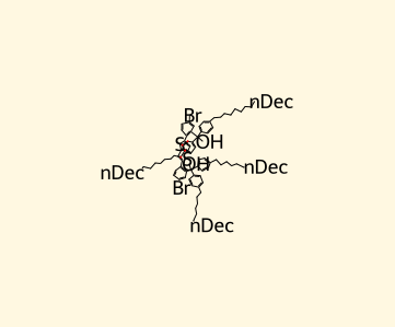 CCCCCCCCCCCCCCCCCCc1ccc(C(O)(c2ccc(CCCCCCCCCCCCCCCCCC)cc2)c2cc(Br)ccc2-c2cc3sc(-c4ccc(Br)cc4C(O)(c4ccc(CCCCCCCCCCCCCCCC)cc4)c4ccc(CCCCCCCCCCCCCCCC)cc4)cc3s2)cc1